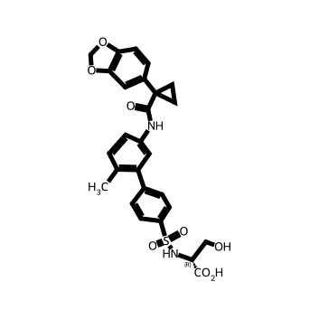 Cc1ccc(NC(=O)C2(c3ccc4c(c3)OCO4)CC2)cc1-c1ccc(S(=O)(=O)N[C@H](CO)C(=O)O)cc1